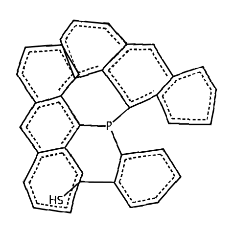 SCc1ccccc1P(c1c2ccccc2cc2ccccc12)c1c2ccccc2cc2ccccc12